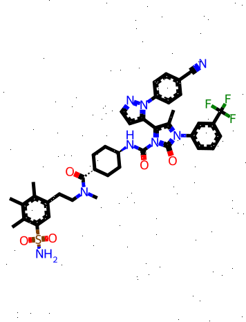 Cc1c(CCN(C)C(=O)[C@H]2CC[C@H](NC(=O)n3c(-c4ccnn4-c4ccc(C#N)cc4)c(C)n(-c4cccc(C(F)(F)F)c4)c3=O)CC2)cc(S(N)(=O)=O)c(C)c1C